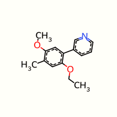 CCOc1cc(C)c(OC)cc1-c1cccnc1